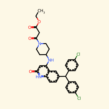 CCOC(=O)CC(=O)N1CCC(Nc2cc(=O)[nH]c3ccc(C(c4ccc(Cl)cc4)c4ccc(Cl)cc4)cc23)CC1